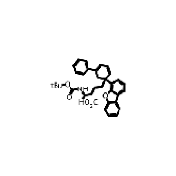 CC(C)(C)OC(=O)NC(C/C=C/C1(c2cccc3c2oc2ccccc23)C=CC=C(c2ccccc2)C1)C(=O)O